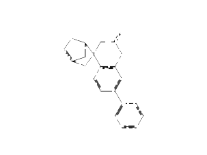 O=C1Cc2cc(-c3ccccc3)ccc2C2(C1)CC1=CCC2C1